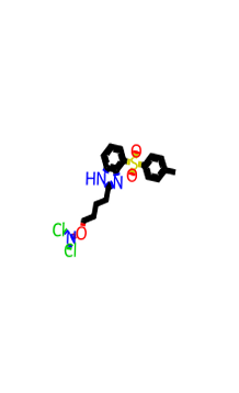 Cc1ccc(S(=O)(=O)c2cccc3[nH]c(CCCCON(Cl)Cl)nc23)cc1